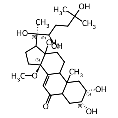 CO[C@@]12CCC([C@@](C)(O)[C@H](O)CCC(C)(C)O)C1(C)CCC1C2=CC(=O)C2C[C@@H](O)[C@@H](O)CC21C